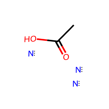 CC(=O)O.[N].[N].[N]